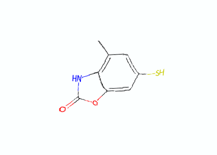 Cc1cc(S)cc2oc(=O)[nH]c12